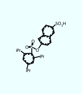 CC(C)c1cc(C(C)C)c(S(=O)(=O)Oc2ccc3cc(S(=O)(=O)O)ccc3c2)c(C(C)C)c1